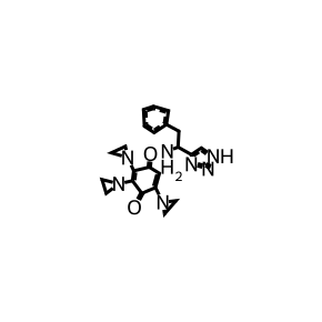 NC(Cc1ccccc1)c1c[nH]nn1.O=C1C=C(N2CC2)C(=O)C(N2CC2)=C1N1CC1